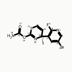 C[C@@]1(c2cc(Br)cnc2F)C=CSC(OC(N)=O)=N1